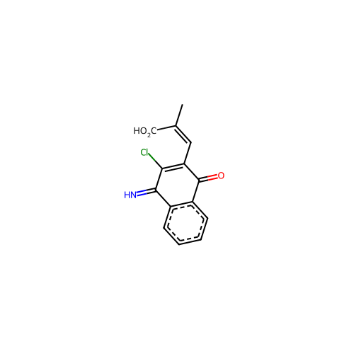 C/C(=C/C1=C(Cl)C(=N)c2ccccc2C1=O)C(=O)O